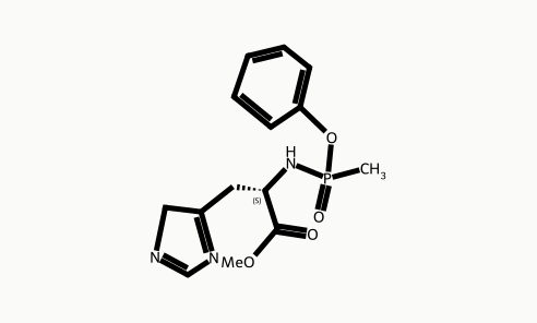 COC(=O)[C@H](CC1=NC=NC1)NP(C)(=O)Oc1ccccc1